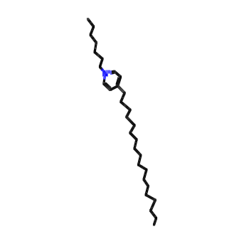 CCCCCCCCCCCCCCCCCCc1cc[n+](CCCCCCC)cc1